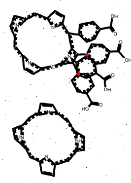 C1=Cc2cc3ccc(cc4nc(cc5ccc(cc1n2)[nH]5)C=C4)[nH]3.O=C(O)c1ccc(-c2c(-c3ccc(C(=O)O)cc3)c3c(-c4ccc(C(=O)O)cc4)c4nc(cc5ccc(cc6nc(cc2n3-c2ccc(C(=O)O)cc2)C=C6)[nH]5)C=C4)cc1